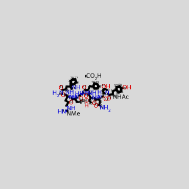 CC(=O)O.CNC(=N)NCCCC(NC(=O)C(CC(C)C)NC(=O)NNC(=O)C(Cc1ccccc1)NC(=O)C(NC(=O)C(CC(N)=O)NC(=O)[C@@H]1C[C@@H](O)CN1C(=O)C(Cc1ccc(O)cc1)NC(C)=O)C(C)O)C(=O)NC(Cc1c[nH]c2ccccc12)C(N)=O